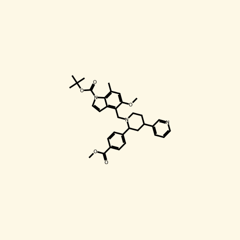 COC(=O)c1ccc(C2CC(c3cccnc3)CCN2Cc2c(OC)cc(C)c3c2ccn3C(=O)OC(C)(C)C)cc1